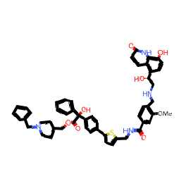 COc1cc(C(=O)NCc2ccc(-c3ccc(C(O)(C(=O)OCC4CCN(Cc5ccccc5)CC4)c4ccccc4)cc3)s2)ccc1CNC[C@H](O)c1ccc(O)c2[nH]c(=O)ccc12